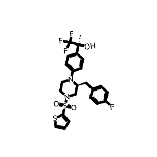 C[C@](O)(c1ccc(N2CCN(S(=O)(=O)c3cccs3)C[C@@H]2Cc2ccc(F)cc2)cc1)C(F)(F)F